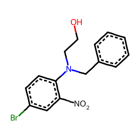 O=[N+]([O-])c1cc(Br)ccc1N(CCO)Cc1ccccc1